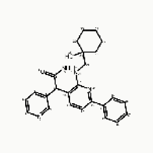 NC(=O)C(c1cccnc1)c1ccc(-c2ccccc2)nc1NCC1(O)CCCCC1